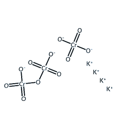 [K+].[K+].[K+].[K+].[O]=[Cr](=[O])([O-])[O-].[O]=[Cr](=[O])([O-])[O][Cr](=[O])(=[O])[O-]